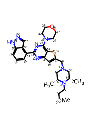 COCCN1[C@H](C)CN(Cc2cc3nc(-c4cccc5[nH]ncc45)nc(N4CCOCC4)c3s2)C[C@@H]1C